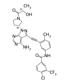 Cc1ccc(NC(=O)c2ccc(Cl)c(C(F)(F)F)c2)cc1C#Cc1nn([C@@H]2CCN(C(=O)[C@H](C)O)C2)c2ncnc(N)c12